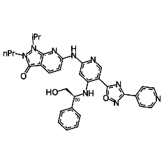 CCCn1c(=O)c2ccc(Nc3cc(N[C@H](CO)c4ccccc4)c(-c4nc(-c5ccncc5)no4)cn3)nc2n1C(C)C